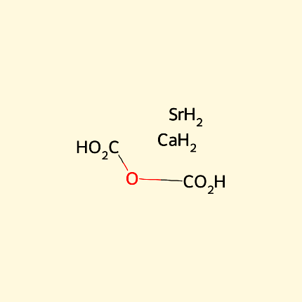 O=C(O)OC(=O)O.[CaH2].[SrH2]